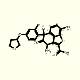 Cc1cc(OC2CCOC2)ccc1C1(N)C(=O)C(N)c2c(C(=O)O)sc3c(N)ccc1c23